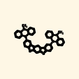 CN1c2ccccc2N(c2ccc3oc4cc5oc6ccc(N7c8ccccc8N(C)c8ccccc87)cc6c5cc4c3c2)c2ccccc21